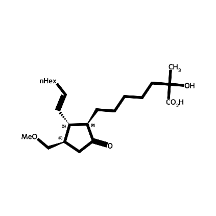 CCCCCCC=C[C@H]1[C@H](COC)CC(=O)[C@@H]1CCCCCC(C)(O)C(=O)O